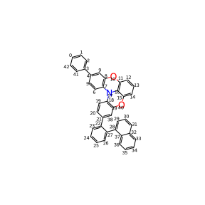 c1ccc(-c2ccc3c(c2)Oc2cccc4c2N3c2ccc(-c3ccccc3-c3cccc5ccccc35)cc2O4)cc1